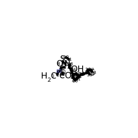 C=C/C=C(/CCN1C(=O)SCCN1CCC(O)Cc1cccc(C#Cc2ccsc2)c1)SC(=O)O